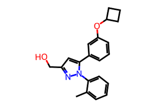 Cc1ccccc1-n1nc(CO)cc1-c1cccc(OC2CCC2)c1